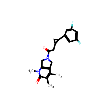 Cc1c2c(n(C)c(=O)c1C)CN(C(=O)CC1CC1c1cc(F)cc(F)c1)C2